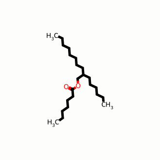 CCCCCCCCC(CCCCCC)COC(=O)CCCCCC